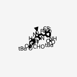 CC(C)c1nc(-c2cc(NC(=O)OC(C)(C)C)cc(F)c2OC(F)(F)F)c(F)c2c1c([C@@H]1[C@H]3CN(C(=O)OC(C)(C)C)[C@H](C=O)[C@H]31)nn2C1CC1